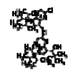 CC(C)[Si](C(C)C)(C(C)C)n1cc(C(O)C(C)(C)C)c2nc(Cl)cnc21.CC(C)[Si](C(C)C)(C(C)C)n1cc(I)c2nc(Cl)cnc21